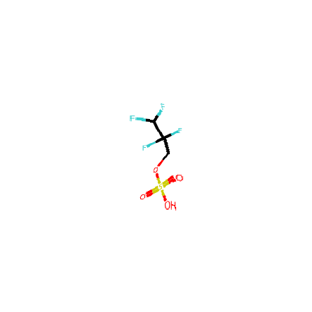 O=S(=O)(O)OCC(F)(F)C(F)F